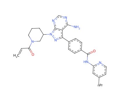 C=CC(=O)N1CCCC(n2nc(-c3ccc(C(=O)Nc4cc(CCC)ccn4)cc3)c3c(N)ncnc32)C1